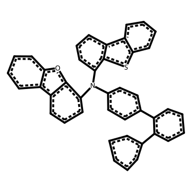 c1ccc(-c2ccccc2-c2ccc(N(c3cccc4c3oc3ccccc34)c3cccc4c3sc3ccccc34)cc2)cc1